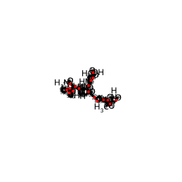 Cn1c(=O)n(C2CCC(=O)NC2=O)c2ccc(N3CCC(CCCC(=O)N4CC[C@H]5CC[C@@H](C(=O)NCC(CCC(N)=O)C(=O)NC(c6ccccc6)c6ccccc6)N5C(=O)[C@@H](NC(=O)c5cc6cc(C(=O)P(=O)(O)O)ccc6[nH]5)C4)CC3)cc21